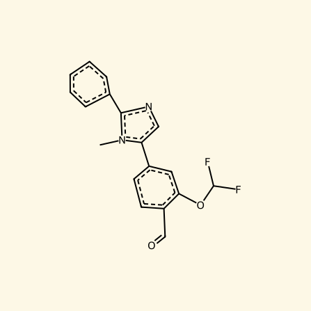 Cn1c(-c2ccc(C=O)c(OC(F)F)c2)cnc1-c1ccccc1